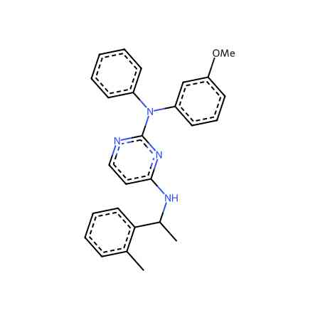 COc1cccc(N(c2ccccc2)c2nccc(NC(C)c3ccccc3C)n2)c1